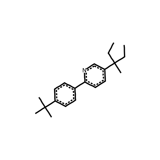 CCC(C)(CC)c1ccc(-c2ccc(C(C)(C)C)cc2)nc1